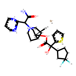 NC(=O)C(c1ncccn1)[N+]12CCC(CC1)[C@@H](OC(=O)C(O)(c1cccs1)C1CCC(F)(F)C1)C2.[Br-]